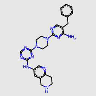 Nc1nc(N2CCN(c3ncnc(Nc4cnc5c(c4)CNCC5)n3)CC2)ncc1Cc1ccccc1